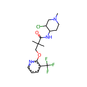 CN1CCC(NC(=O)C(C)(C)COc2ncccc2C(F)(F)F)C(Cl)C1